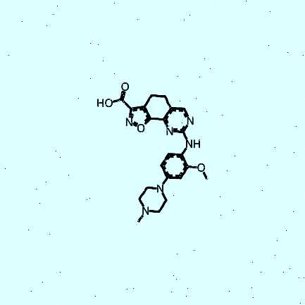 COc1cc(N2CCN(C)CC2)ccc1Nc1ncc2c(n1)-c1onc(C(=O)O)c1CC2